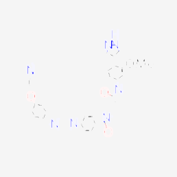 COc1cc(N2CCC3(CCN(C(=O)c4ccc(N5CCN(Cc6ccc(OCCCN(C)C)cc6)CC5)cc4)CC3)C2=O)ccc1-c1cn[nH]c1